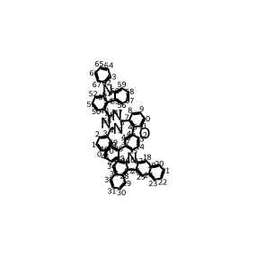 c1ccc(-c2nc(-c3cccc4oc5cc(-n6c7cc8ccccc8cc7c7c8ccccc8ccc76)c(-c6ccccc6)cc5c34)nc(-c3cccc4c3c3ccccc3n4-c3ccccc3)n2)cc1